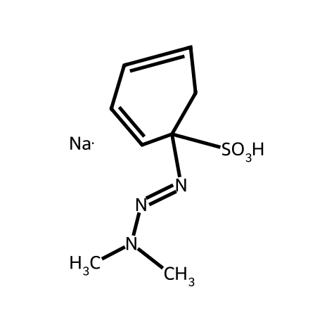 CN(C)N=NC1(S(=O)(=O)O)C=CC=CC1.[Na]